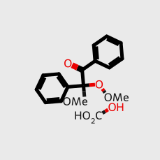 COOC(OC)(C(=O)c1ccccc1)c1ccccc1.O=C(O)O